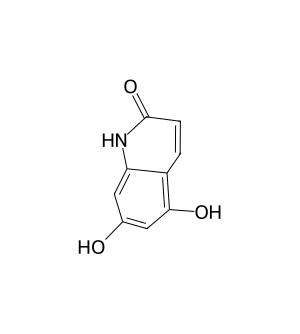 O=c1ccc2c(O)cc(O)cc2[nH]1